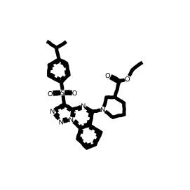 CCOC(=O)C1CCCN(c2nc3c(S(=O)(=O)c4ccc(C(C)C)cc4)nnn3c3ccccc23)C1